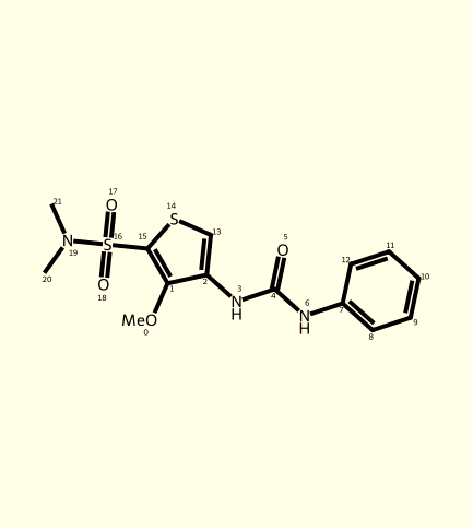 COc1c(NC(=O)Nc2ccccc2)csc1S(=O)(=O)N(C)C